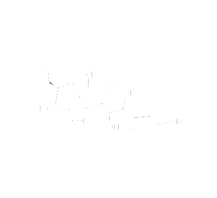 CO[C@@H](O[C@]1(CCl)O[C@H](CCl)C(O)C1O)C(O)C(O)[C@@H](Cl)CCO